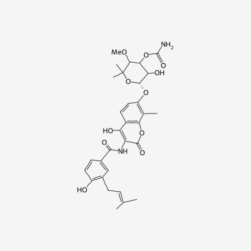 COC1C(OC(N)=O)C(O)[C@H](Oc2ccc3c(O)c(NC(=O)c4ccc(O)c(CC=C(C)C)c4)c(=O)oc3c2C)OC1(C)C